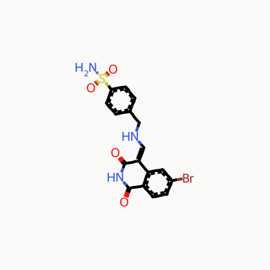 NS(=O)(=O)c1ccc(CNC=C2C(=O)NC(=O)c3ccc(Br)cc32)cc1